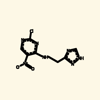 O=[N+]([O-])c1cnc(Cl)nc1NCCc1nc[nH]n1